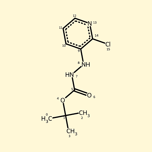 CC(C)(C)OC(=O)NNc1cccnc1Cl